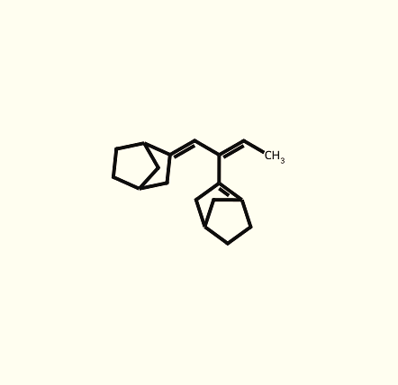 CC=C(C=C1CC2CCC1C2)C1=C2CCC(C2)C1